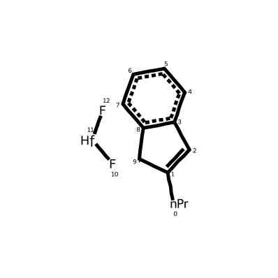 CCCC1=Cc2ccccc2[CH]1.[F][Hf][F]